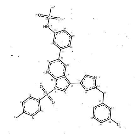 Cc1ccc(S(=O)(=O)n2cc(-c3cnn(Cc4cccc(Cl)c4)c3)c3cc(-c4cccc(NS(C)(=O)=O)c4)cnc32)cc1